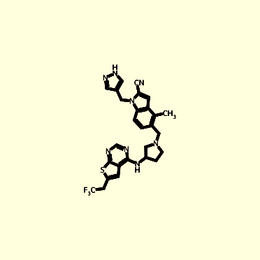 Cc1c(CN2CCC(Nc3ncnc4sc(CC(F)(F)F)cc34)C2)ccc2c1cc(C#N)n2Cc1cn[nH]c1